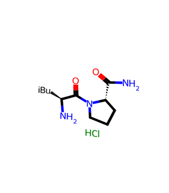 CCC(C)[C@H](N)C(=O)N1CCC[C@H]1C(N)=O.Cl